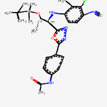 [C-]#[N+]c1ccc(N[C@@H](c2nnc(-c3ccc(NC(C)=O)cc3)o2)[C@H](C)O[Si](C)(C)C(C)(C)C)c(C)c1Cl